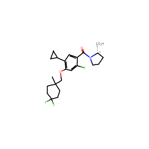 CC1(COc2cc(F)c(C(=O)N3CCC[C@H]3C(=O)O)cc2C2CC2)CCC(F)(F)CC1